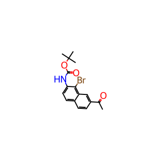 CC(=O)c1ccc2ccc(NC(=O)OC(C)(C)C)c(Br)c2c1